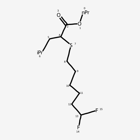 CCCOC(=O)C(CC(C)C)SCCCCCC(F)F